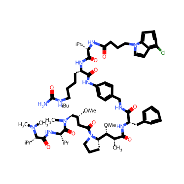 CC[C@H](C)[C@@H]([C@@H](CC(=O)N1CCC[C@H]1[C@H](OC)[C@@H](C)C(=O)N[C@@H](Cc1ccccc1)C(=O)NCc1ccc(NC(=O)[C@H](CCCCNC(N)=O)NC(=O)[C@@H](NC(=O)CCCn2ccc3c(Cl)cccc32)C(C)C)cc1)OC)N(C)C(=O)[C@@H](NC(=O)[C@H](C(C)C)N(C)C)C(C)C